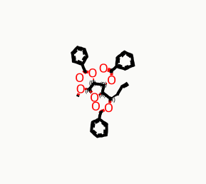 C=CC[C@@H](OC(=O)c1ccccc1)[C@H]1O[C@@H](OC)[C@H](OC(=O)c2ccccc2)[C@@H]1OC(=O)c1ccccc1